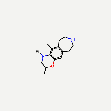 CCN1CC(C)Oc2cc3c(c(C)c21)CCNCC3